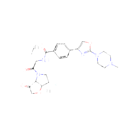 CC(C)C[C@H](NC(=O)c1ccc(-c2coc(N3CCN(C)CC3)n2)cc1)C(=O)N1C[C@H](F)[C@H]2OCC(=O)C21